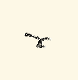 OCCCOCC(CCOCCCCCCOCc1ccccc1)(COCCCO)COCCCO